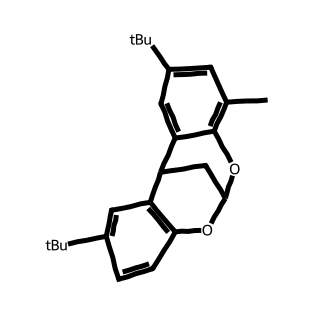 Cc1cc(C(C)(C)C)cc2c1OC1CC2c2cc(C(C)(C)C)ccc2O1